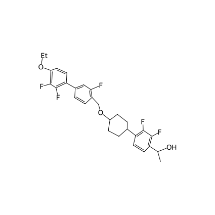 CCOc1ccc(-c2ccc(COC3CCC(c4ccc(C(C)O)c(F)c4F)CC3)c(F)c2)c(F)c1F